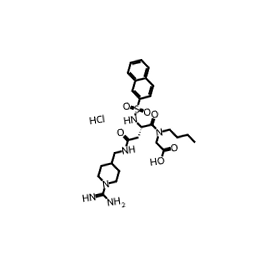 CCCCN(CC(=O)O)C(=O)[C@H](CC(=O)NCC1CCN(C(=N)N)CC1)NS(=O)(=O)c1ccc2ccccc2c1.Cl